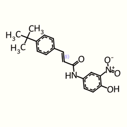 CC(C)(C)c1ccc(/C=C/C(=O)Nc2ccc(O)c([N+](=O)[O-])c2)cc1